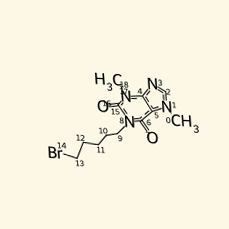 Cn1cnc2c1c(=O)n(CCCCCBr)c(=O)n2C